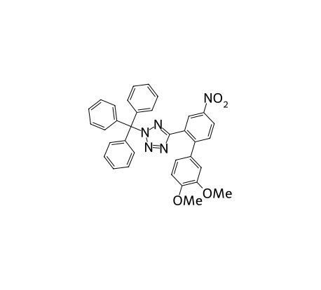 COc1ccc(-c2ccc([N+](=O)[O-])cc2-c2nnn(C(c3ccccc3)(c3ccccc3)c3ccccc3)n2)cc1OC